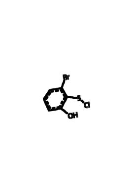 Oc1cccc(Br)c1SCl